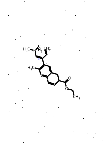 C=C/C(=C\N(C)C)c1cc2c(nc1C)C=CC(C(=O)OCC)C2